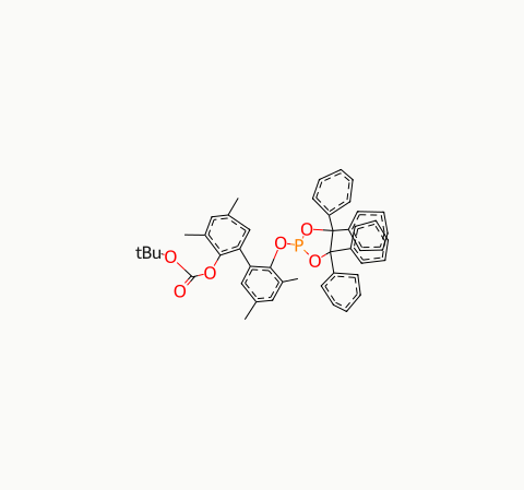 Cc1cc(C)c(OC(=O)OC(C)(C)C)c(-c2cc(C)cc(C)c2OP2OC(c3ccccc3)(c3ccccc3)C(c3ccccc3)(c3ccccc3)O2)c1